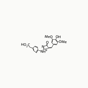 COc1cc(C=C2SC(Nc3ccc(CC(=O)O)cc3)=NC2=O)cc(OC)c1O